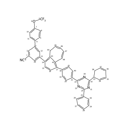 N#Cc1cc(-c2ccc(OC(F)(F)F)cc2)cc(-c2ccc(-c3ccc(-c4nc(-c5ccccc5)nc(C5C=CC=CC5)n4)cc3)c3c2CC=CC=C3)c1